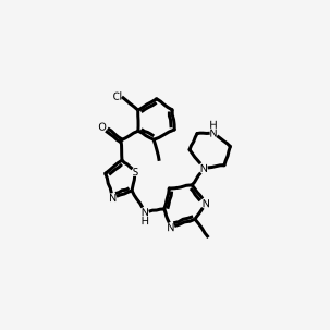 Cc1nc(Nc2ncc(C(=O)c3c(C)cccc3Cl)s2)cc(N2CCNCC2)n1